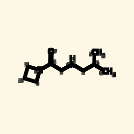 CC(C)CNCC(=O)N1CCC1